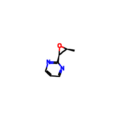 C[C@@H]1O[C@@H]1c1ncccn1